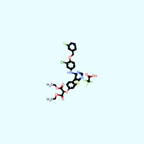 CCOC(=O)C(Oc1ccc2c(c1)sc1ncnc(Nc3ccc(OCc4cccc(F)c4)c(Cl)c3)c12)C(=O)OCC.O=C(O)C(F)(F)F